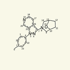 Cc1ccc(-n2nc(N3CC4CCC(C3)O4)c3ccncc32)cc1